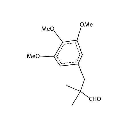 COc1cc(CC(C)(C)C=O)cc(OC)c1OC